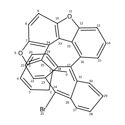 CC1CC=Cc2oc3ccc4oc5cccc(-c6c7ccccc7c(Br)c7ccccc67)c5c4c3c21